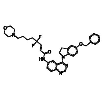 O=C(C=CC(F)(F)CCCCN1CCOCC1)Nc1ccc2ncnc(N3CCc4cc(OCc5ccccc5)ccc43)c2c1